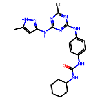 CCc1nc(Nc2ccc(NC(=O)NC3CCCCC3)cc2)nc(Nc2cc(C)[nH]n2)n1